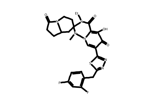 CCN1C(=O)c2c(O)c(=O)c(-c3nnc(Cc4ccc(F)cc4F)s3)cn2N(C)C12CCN1C(=O)CCC1C2